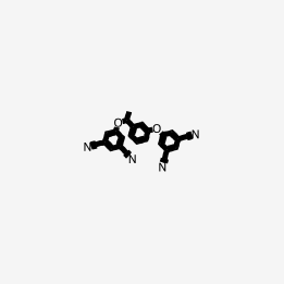 CC(Oc1cc(C#N)cc(C#N)c1)c1cccc(Oc2cc(C#N)cc(C#N)c2)c1